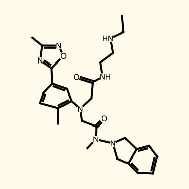 CCNCCNC(=O)CN(CC(=O)N(C)N1Cc2ccccc2C1)c1cc(-c2nc(C)no2)ccc1C